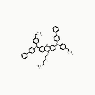 C=Cc1ccc(N(c2ccc(-c3ccccc3)cc2)c2ccc3c(c2)Sc2cc(N(c4ccc(C=C)cc4)c4ccc(-c5ccccc5)cc4)ccc2N3CCCCCC)cc1